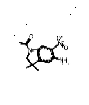 CC(=O)N1CC(C)(C)c2cc(N)c([N+](=O)[O-])cc21